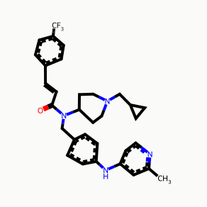 Cc1cc(Nc2ccc(CN(C(=O)C=Cc3ccc(C(F)(F)F)cc3)C3CCN(CC4CC4)CC3)cc2)ccn1